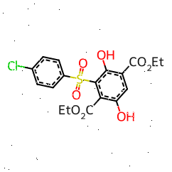 CCOC(=O)c1cc(O)c(C(=O)OCC)c(S(=O)(=O)c2ccc(Cl)cc2)c1O